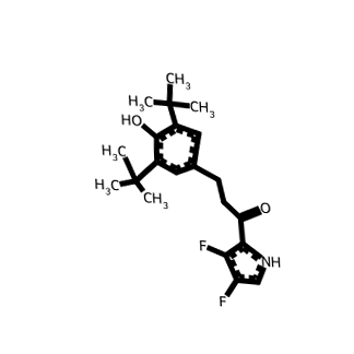 CC(C)(C)c1cc(CCC(=O)c2[nH]cc(F)c2F)cc(C(C)(C)C)c1O